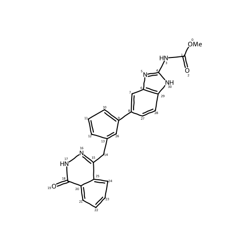 COC(=O)Nc1nc2cc(-c3cccc(Cc4n[nH]c(=O)c5ccccc45)c3)ccc2[nH]1